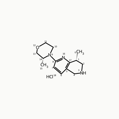 C[C@@H]1CNCc2ccc(N3CCOC[C@H]3C)nc21.Cl